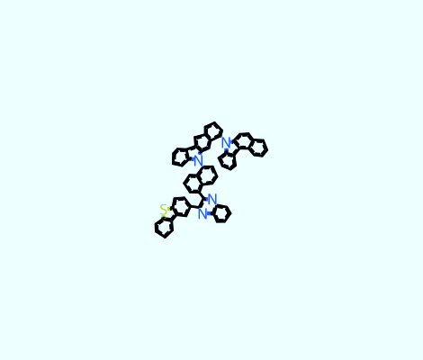 c1cc(-n2c3ccccc3c3c4ccccc4ccc32)c2cc3c(cc2c1)c1ccccc1n3-c1cccc2c(-c3nc4ccccc4nc3-c3ccc4sc5ccccc5c4c3)cccc12